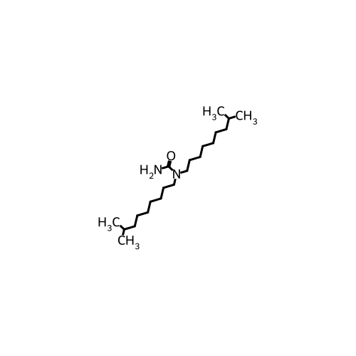 CC(C)CCCCCCCN(CCCCCCCC(C)C)C(N)=O